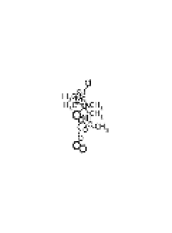 CCOC(=O)c1[nH]c2c(-c3c([C@@H](C)N(C)S(=O)(=O)CCCCl)nn(C)c3CC)cccc2c1CCCOc1cccc2ccccc12